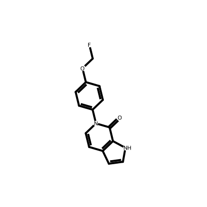 O=c1c2[nH]ccc2ccn1-c1ccc(OCF)cc1